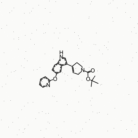 CC(C)(C)OC(=O)N1CC=C(c2c[nH]c3ccc(Oc4ccccn4)cc23)CC1